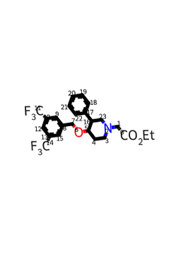 CCOC(=O)CN1CCC(OCc2cc(C(F)(F)F)cc(C(F)(F)F)c2)C(c2ccccc2)C1